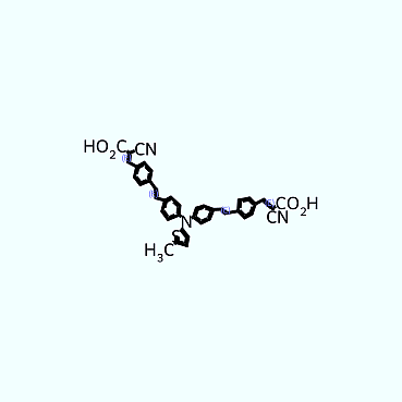 Cc1ccc(N(c2ccc(/C=C/c3ccc(/C=C(\C#N)C(=O)O)cc3)cc2)c2ccc(/C=C/c3ccc(/C=C(\C#N)C(=O)O)cc3)cc2)s1